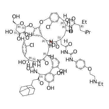 CCNCCOc1ccc(NC(=O)NC(=O)C[C@@H]2CC(=O)[C@H](NC(=O)[C@H](CC)CC(C)C)[C@H](O)c3ccc(c(Cl)c3)Oc3cc4cc(c3O[C@@H]3O[C@H](CO)[C@@H](O)[C@H](O)[C@H]3O)Oc3ccc(cc3Cl)[C@@H](O)[C@@H]3NC(=O)[C@H](CC(=O)[C@@H]4NC2=O)c2ccc(O)c(c2)-c2c(O)cc(O)cc2[C@@H](C(=O)CC2C4CC5CC(C4)CC2C5)NC3=O)cc1